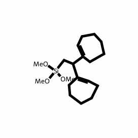 CO[Si](CC(C1=CCCCCC1)C1=CCCCCC1)(OC)OC